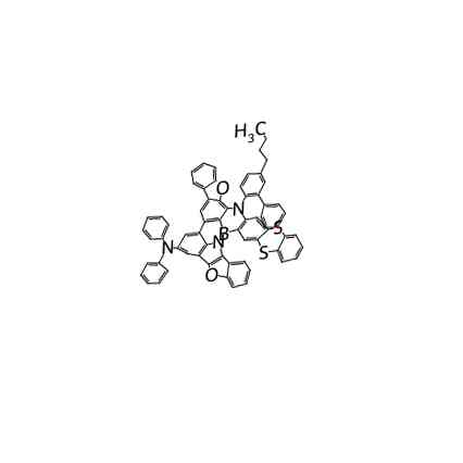 CCCCc1ccc(N2c3cc4c(cc3B3c5c(cc6c(oc7ccccc76)c52)-c2cc(N(c5ccccc5)c5ccccc5)cc5c6oc7ccccc7c6n3c25)Sc2ccccc2S4)c(-c2ccccc2)c1